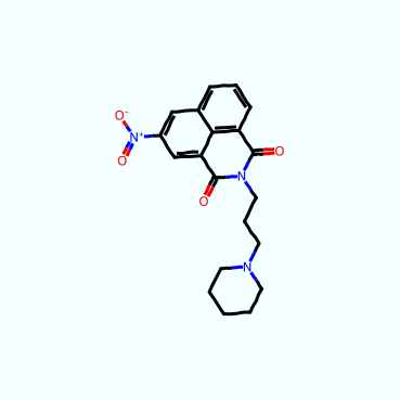 O=C1c2cccc3cc([N+](=O)[O-])cc(c23)C(=O)N1CCCN1CCCCC1